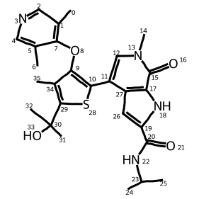 Cc1cncc(C)c1Oc1c(-c2cn(C)c(=O)c3[nH]c(C(=O)NC(C)C)cc23)sc(C(C)(C)O)c1C